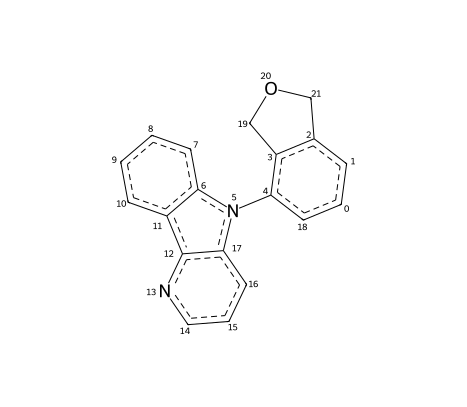 c1cc2c(c(-n3c4ccccc4c4ncccc43)c1)COC2